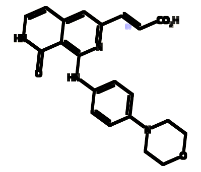 O=C(O)/C=C/c1cc2cc[nH]c(=O)c2c(Nc2ccc(N3CCOCC3)cc2)n1